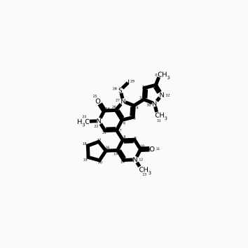 Cc1cc(-c2cc3c(-c4cc(=O)n(C)cc4C4CCCC4)cn(C)c(=O)c3n2SI)n(C)n1